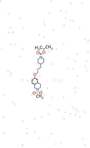 CC(C)OC(=O)N1CCC(CCCOc2ccc3c(c2)CCN(S(C)(=O)=O)C3)CC1